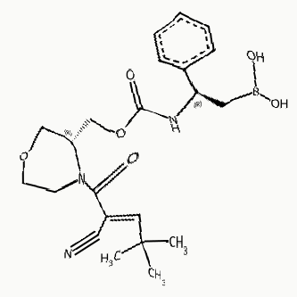 CC(C)(C)C=C(C#N)C(=O)N1CCOC[C@@H]1COC(=O)N[C@H](CB(O)O)c1ccccc1